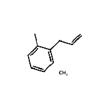 C.C=CCc1ccccc1C